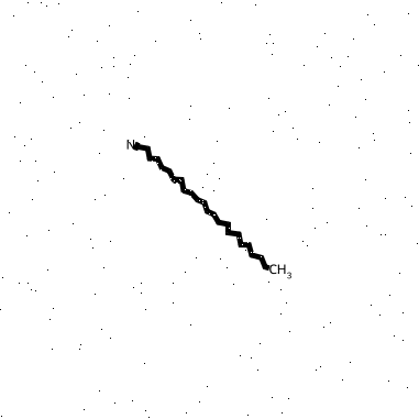 CCCCCCCCCCCCCCCCC=CCCCCCC#N